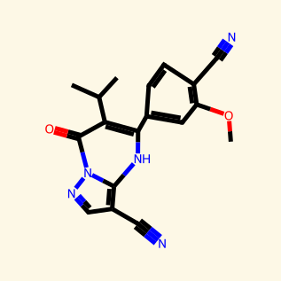 COc1cc(-c2[nH]c3c(C#N)cnn3c(=O)c2C(C)C)ccc1C#N